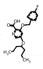 CCCC(CCC)Oc1cnc(C(=O)O)c(OCc2ccc(F)cc2)c1